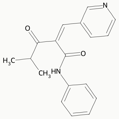 CC(C)C(=O)/C(=C/c1cccnc1)C(=O)Nc1ccccc1